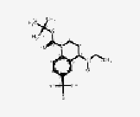 CC[S+]([O-])C1CCN(C(=O)OC(C)(C)C)c2ccc(C(F)(F)F)cc21